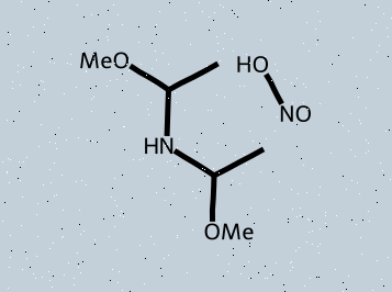 COC(C)NC(C)OC.O=NO